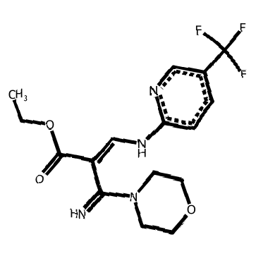 CCOC(=O)/C(=C/Nc1ccc(C(F)(F)F)cn1)C(=N)N1CCOCC1